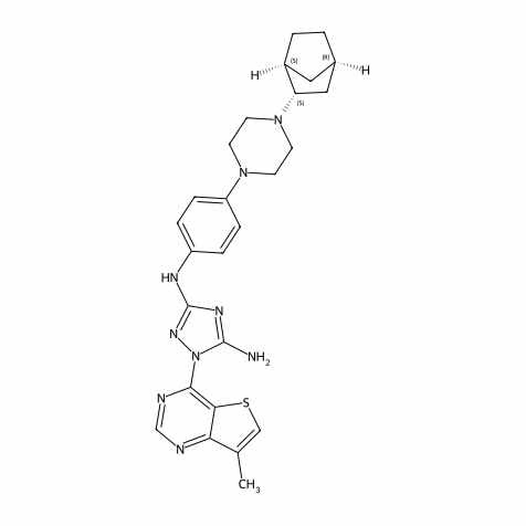 Cc1csc2c(-n3nc(Nc4ccc(N5CCN([C@H]6C[C@@H]7CC[C@H]6C7)CC5)cc4)nc3N)ncnc12